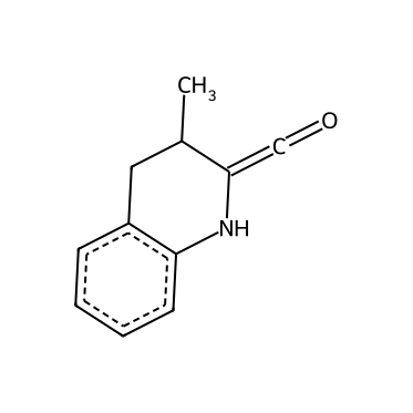 CC1Cc2ccccc2NC1=C=O